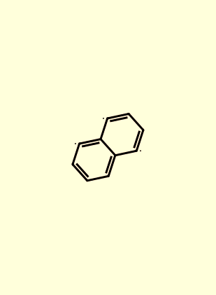 [c]1cc[c]c2ccc[c]c12